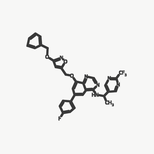 CC(Nc1ncnc2c(OCc3cc(OCc4ccccc4)no3)cc(-c3ccc(F)cc3)cc12)c1cnc(C(F)(F)F)nc1